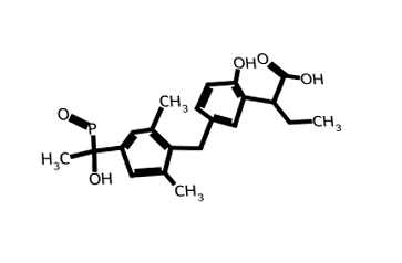 CCC(C(=O)O)c1cc(Cc2c(C)cc(C(C)(O)P=O)cc2C)ccc1O